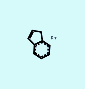 C1=Cc2ccccc2C1.[Rh]